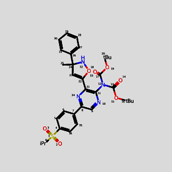 CC(C)S(=O)(=O)c1ccc(-c2cnc(N(C(=O)OC(C)(C)C)C(=O)OC(C)(C)C)c(C3=CC(C)(c4ccccc4)NO3)n2)cc1